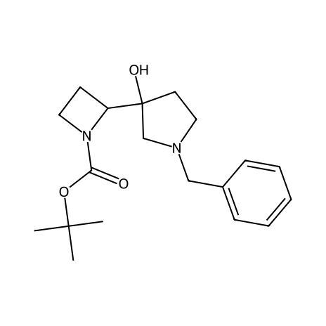 CC(C)(C)OC(=O)N1CCC1C1(O)CCN(Cc2ccccc2)C1